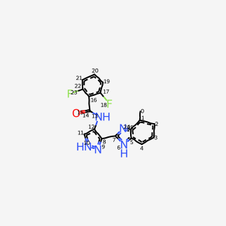 Cc1cccc2[nH]c(-c3n[nH]cc3NC(=O)c3c(F)cccc3F)nc12